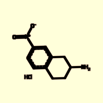 Cl.NC1CCc2ccc([N+](=O)[O-])cc2C1